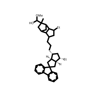 CCC1CC(CCC[C@@H]2C[C@H](CC)[C@H]3CC4(C[C@@H]23)c2ccccc2-c2ccccc24)C2C3CC(C12)C(C)(C(O)OC)C3